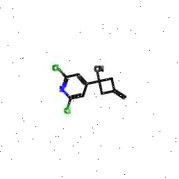 C=C1CC(C#N)(c2cc(Cl)nc(Cl)c2)C1